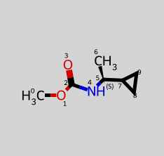 COC(=O)N[C@@H](C)C1CC1